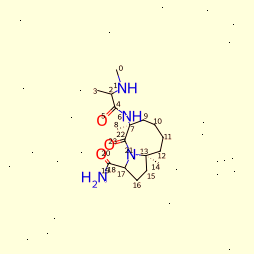 CNC(C)C(=O)N[C@@]1(C)CCCC[C@@]2(C)CCC(C(N)=O)N2C1=O